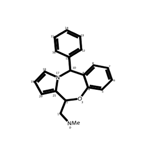 CNCC1Oc2ccccc2C(c2ccccc2)n2cccc21